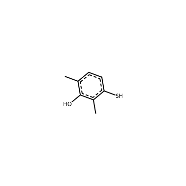 Cc1ccc(S)c(C)c1O